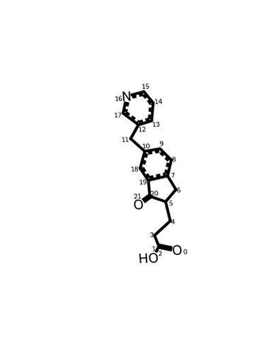 O=C(O)CCC1Cc2ccc(Cc3cccnc3)cc2C1=O